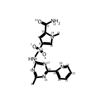 Cc1nc(NS(=O)(=O)c2cc(C(N)=O)n(C)c2)nc(-c2ccccn2)n1